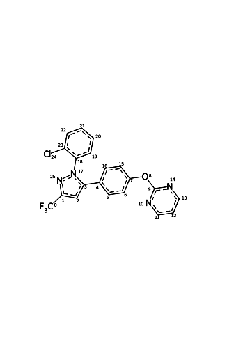 FC(F)(F)c1cc(-c2ccc(Oc3ncccn3)cc2)n(-c2ccccc2Cl)n1